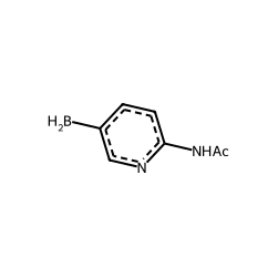 Bc1ccc(NC(C)=O)nc1